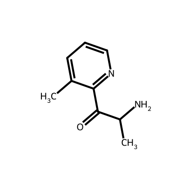 Cc1cccnc1C(=O)C(C)N